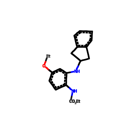 CCOC(=O)Nc1ccc(OCC)cc1NC1Cc2ccccc2C1